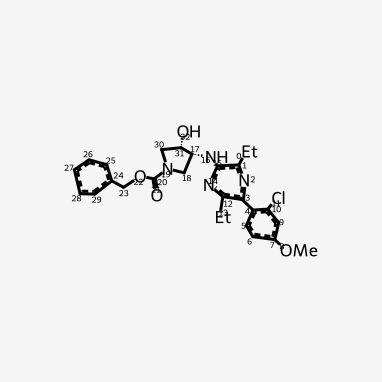 CCc1nc(-c2ccc(OC)cc2Cl)c(CC)nc1N[C@@H]1CN(C(=O)OCc2ccccc2)C[C@@H]1O